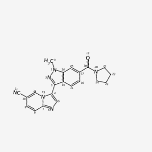 Cn1nc(-c2cnc3ccc(C#N)cn23)c2ccc(C(=O)N3CCCC3)cc21